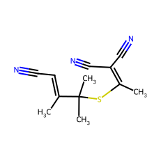 CC(SC(C)(C)/C(C)=C/C#N)=C(C#N)C#N